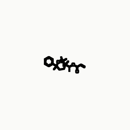 C=CC(=O)OC(C)[Si]1(C)CCC(C)(c2ccccc2)O[Si]1(C)C